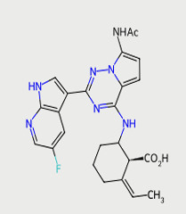 C/C=C1/CCCC(Nc2nc(-c3c[nH]c4ncc(F)cc34)nn3c(NC(C)=O)ccc23)[C@H]1C(=O)O